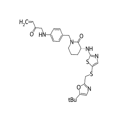 C=CC(=O)CNc1ccc(CN2CCC[C@@H](Nc3ncc(SCc4ncc(C(C)(C)C)o4)s3)C2=O)cc1